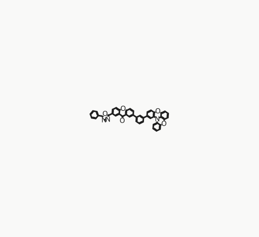 O=c1c2cc(-c3cccc(-c4ccc5c(c4)N4c6ccccc6Oc6cccc(c64)O5)c3)ccc2oc2ccc(-c3nnc(-c4ccccc4)o3)cc12